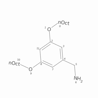 CCCCCCCCOc1cc(CN)cc(OCCCCCCCC)c1